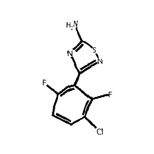 Nc1nc(-c2c(F)ccc(Cl)c2F)ns1